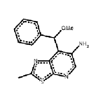 COC(c1ccccc1)c1c(N)cnc2sc(C)nc12